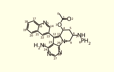 CC(=O)OC1CC(NP)Cn2c1c(-c1cnc3ccccc3c1)c1c(N)ncnc12